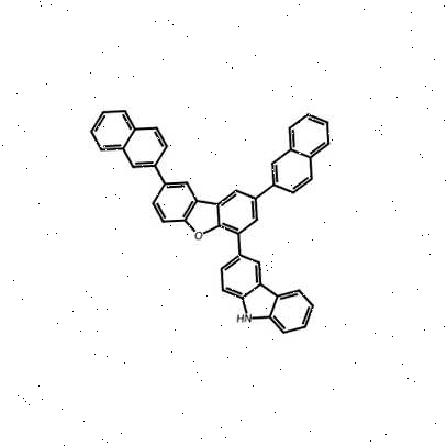 c1ccc2cc(-c3ccc4oc5c(-c6ccc7[nH]c8ccccc8c7c6)cc(-c6ccc7ccccc7c6)cc5c4c3)ccc2c1